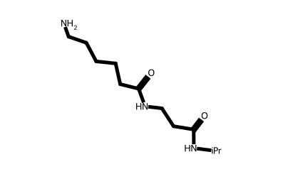 CC(C)NC(=O)CCNC(=O)CCCCCN